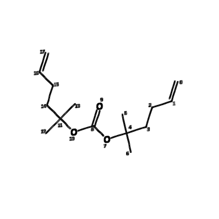 C=CCCC(C)(C)OC(=O)OC(C)(C)CCC=C